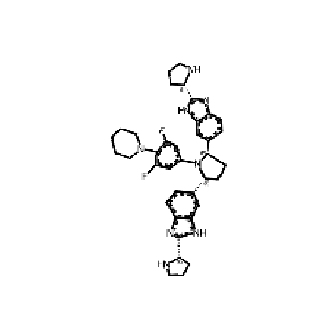 Fc1cc(N2[C@@H](c3ccc4nc([C@@H]5CCCN5)[nH]c4c3)CC[C@@H]2c2ccc3nc([C@@H]4CCCN4)[nH]c3c2)cc(F)c1N1CCCCC1